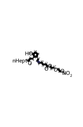 CCCCCCCC(=O)CC[C@@H]1[C@@H](C/C=C\CCCC(=O)OCCOCCO[N+](=O)[O-])CC[C@H]1O